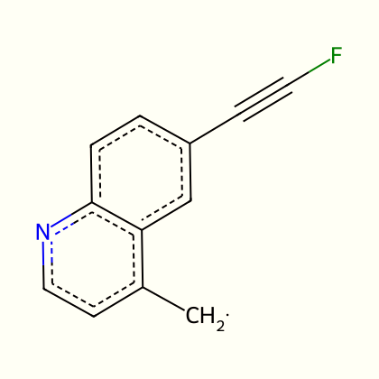 [CH2]c1ccnc2ccc(C#CF)cc12